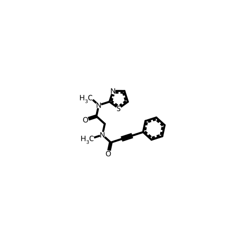 CN(CC(=O)N(C)c1nccs1)C(=O)C#Cc1ccccc1